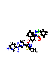 Cc1nc(Oc2ccc(N[S+]([O-])c3ccccc3Cl)c3ccccc23)c(-c2ccnc(NC3CCCNC3)n2)s1